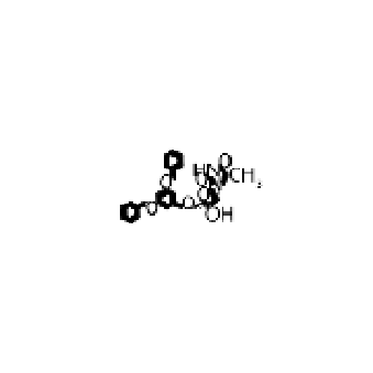 Cc1cn([C@H]2CC(O)[C@@H](COCc3cc(OCc4ccccc4)cc(OCc4ccccc4)c3)O2)c(=O)[nH]c1=O